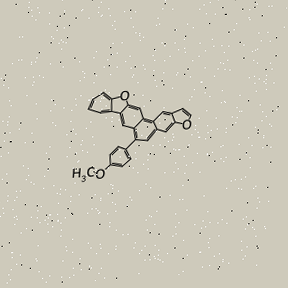 COc1ccc(-c2cc3cc4occc4cc3c3cc4oc5ccccc5c4cc23)cc1